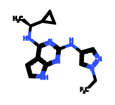 C[C@H](Nc1nc(Nc2cnn(CC(F)(F)F)c2)nc2[nH]ccc12)C1CC1